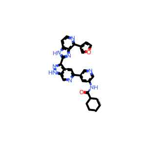 O=C(Nc1cncc(-c2cc3c(-c4nc5c(-c6ccoc6)nccc5[nH]4)n[nH]c3cn2)c1)C1CCCCC1